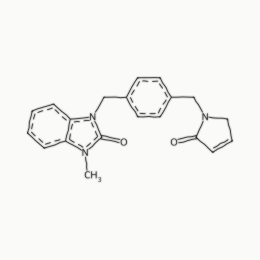 Cn1c(=O)n(Cc2ccc(CN3CC=CC3=O)cc2)c2ccccc21